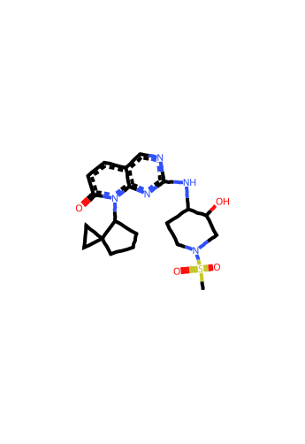 CS(=O)(=O)N1CCC(Nc2ncc3ccc(=O)n(C4CCCC45CC5)c3n2)C(O)C1